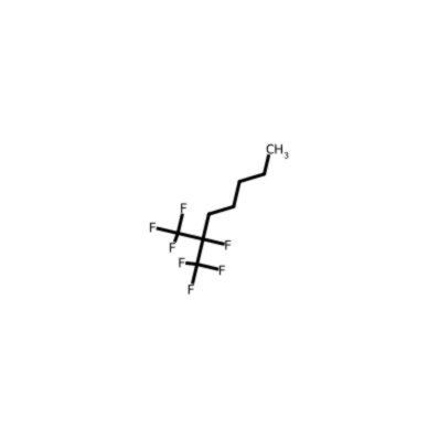 CCCCCC(F)(C(F)(F)F)C(F)(F)F